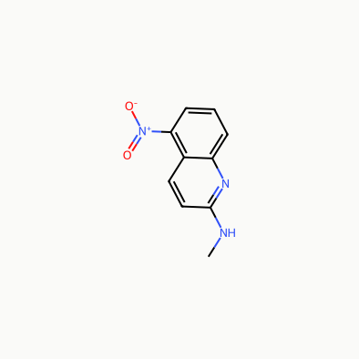 CNc1ccc2c([N+](=O)[O-])cccc2n1